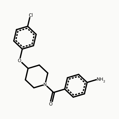 Nc1ccc(C(=O)N2CCC(Oc3ccc(Cl)cc3)CC2)cc1